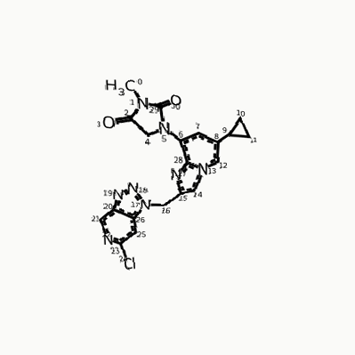 CN1C(=O)CN(c2cc(C3CC3)cn3cc(Cn4nnc5cnc(Cl)cc54)nc23)C1=O